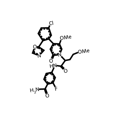 COCCC(C(=O)Nc1ccc(C(N)=O)c(F)c1)n1cc(OC)c(-c2cc(Cl)ccc2-c2cnco2)cc1=O